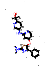 CN(C)c1nc(-c2ccccc2)c(Oc2ccnc(Nc3ccc(C(C)(C)O)nc3)c2)s1